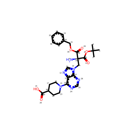 CC(C)(C)OC(=O)[C@](N)(Cn1cnc2c(N3CCC(C(=O)O)CC3)ncnc21)C(=O)OCc1ccccc1